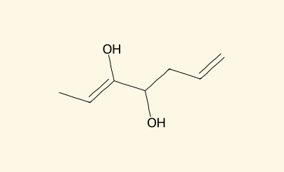 C=CCC(O)C(O)=CC